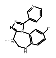 C[C@H]1CNc2ccc(Cl)cc2-n2c(-c3cccnc3)nnc21